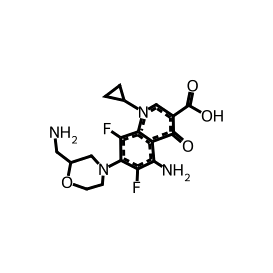 NCC1CN(c2c(F)c(N)c3c(=O)c(C(=O)O)cn(C4CC4)c3c2F)CCO1